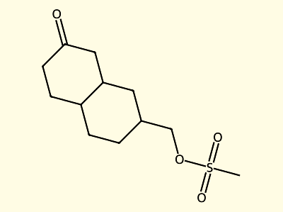 CS(=O)(=O)OCC1CCC2CCC(=O)CC2C1